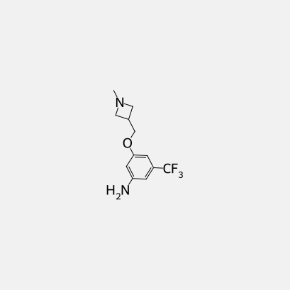 CN1CC(COc2cc(N)cc(C(F)(F)F)c2)C1